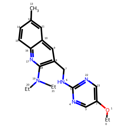 CCOc1cnc(NCc2cc3cc(C)ccc3nc2N(CC)CC)nc1